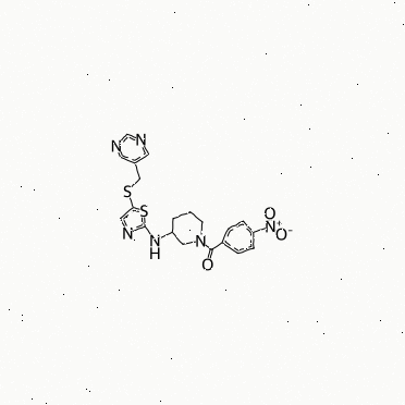 O=C(c1ccc([N+](=O)[O-])cc1)N1CCCC(Nc2ncc(SCc3cncnc3)s2)C1